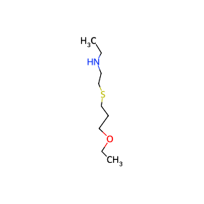 CCNCCSCCCOCC